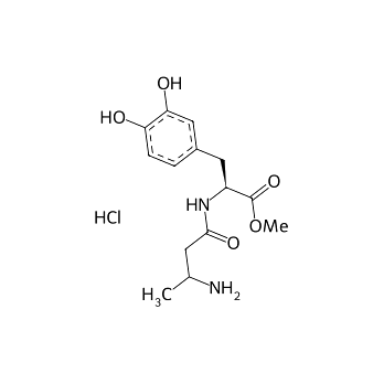 COC(=O)[C@H](Cc1ccc(O)c(O)c1)NC(=O)CC(C)N.Cl